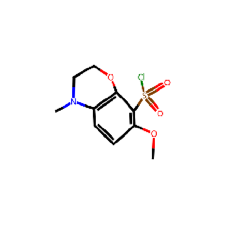 COc1ccc2c(c1S(=O)(=O)Cl)OCCN2C